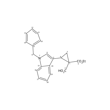 CCOC(=O)C1(C(=O)O)CC1c1cn(Cc2ccccc2)c2ccccc12